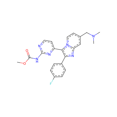 COC(=O)Nc1nccc(-c2c(-c3ccc(F)cc3)nc3cc(CN(C)C)ccn23)n1